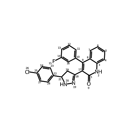 O=c1[nH]c2ccccc2c(-c2cccc(F)c2)c1C1=NNC(c2ccc(Cl)cc2)C1